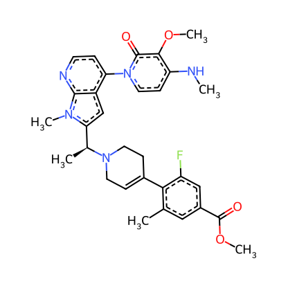 CNc1ccn(-c2ccnc3c2cc([C@H](C)N2CC=C(c4c(C)cc(C(=O)OC)cc4F)CC2)n3C)c(=O)c1OC